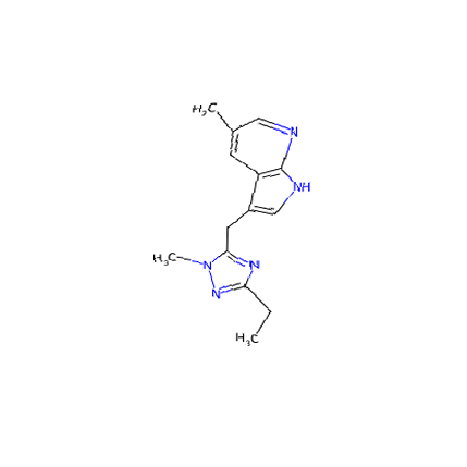 CCc1nc(Cc2c[nH]c3ncc(C)cc23)n(C)n1